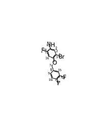 Nc1cc(Br)c(OCc2ccc(F)c(F)c2)cc1F